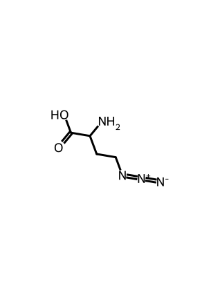 [N-]=[N+]=NCCC(N)C(=O)O